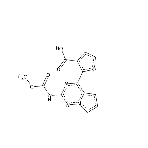 COC(=O)Nc1nc(-c2occc2C(=O)O)c2cccn2n1